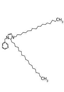 CCCCCCCCCCCCCCCCCCC1N(CCCCCCCCCCCCCCCCCC)C=CN1Cc1ccccc1